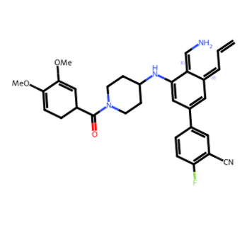 C=C/C=c1/cc(-c2ccc(F)c(C#N)c2)cc(NC2CCN(C(=O)C3C=C(OC)C(OC)=CC3)CC2)/c1=C/N